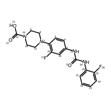 O=C(Nc1ccc(N2CCN(C(=O)O)CC2)c(F)c1)Nc1ccccc1F